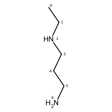 CCNCCCN